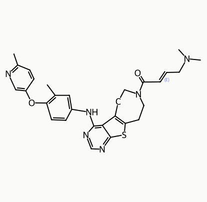 Cc1ccc(Oc2ccc(Nc3ncnc4sc5c(c34)CCN(C(=O)/C=C/CN(C)C)CC5)cc2C)cn1